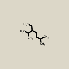 CCC(C[CH]C(C)C)C(C)C